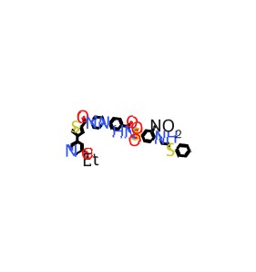 CCOc1cncc(-c2csc(C(=O)N3CCN(c4ccc(C(=O)NS(=O)(=O)c5ccc(NCCSc6ccccc6)c([N+](=O)[O-])c5)cc4)CC3)c2)c1